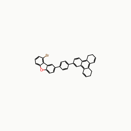 Brc1cccc2oc3ccc(-c4ccc(-c5ccc6c7c(c8c(c6c5)C=CCC8)C=CCC7)cc4)cc3c12